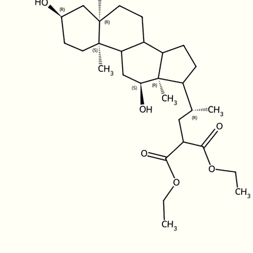 CCOC(=O)C(C[C@@H](C)C1CCC2C3CC[C@@H]4C[C@H](O)CC[C@]4(C)C3C[C@H](O)[C@@]21C)C(=O)OCC